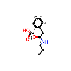 CCCNC(=O)Cc1ccccc1.O=CO